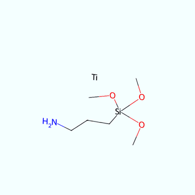 CO[Si](CCCN)(OC)OC.[Ti]